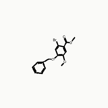 COC(=O)c1cc(OC)c(OCc2ccccc2)cc1Br